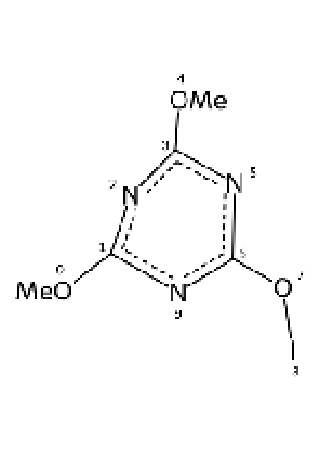 COc1nc(OC)nc(OI)n1